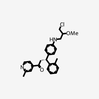 COC(CCl)CNc1ccc([C@@H](CC(=O)c2ccnc(C)c2)c2ccccc2C)cc1